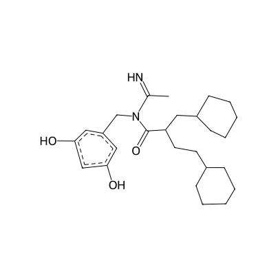 CC(=N)N(Cc1cc(O)cc(O)c1)C(=O)C(CCC1CCCCC1)CC1CCCCC1